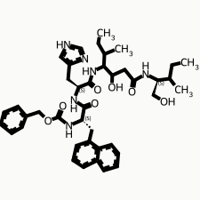 CCC(C)C(NC(=O)[C@H](Cc1c[nH]cn1)NC(=O)[C@H](Cc1cccc2ccccc12)NC(=O)OCc1ccccc1)C(O)CC(=O)N[C@H](CO)C(C)CC